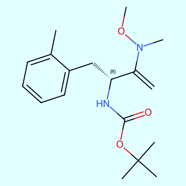 C=C([C@@H](Cc1ccccc1C)NC(=O)OC(C)(C)C)N(C)OC